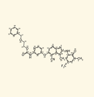 Cn1cc(C(F)(F)F)cc(Nc2nc3ncc(Oc4ccnc(NC(=O)OCCOCc5ccccc5)c4)c(C#N)c3n2C)c1=O